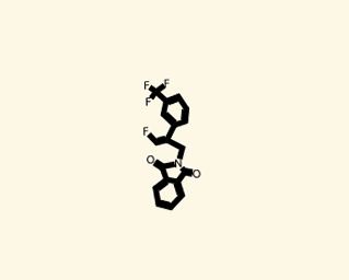 O=C1c2ccccc2C(=O)N1C/C(=C/F)c1cccc(C(F)(F)F)c1